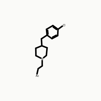 CC(=O)CCN1CCC(Cc2ccc(Cl)cc2)CC1